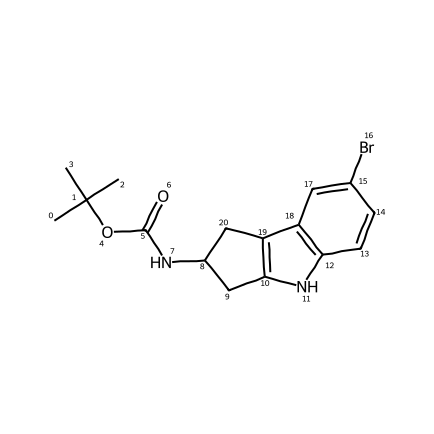 CC(C)(C)OC(=O)NC1Cc2[nH]c3ccc(Br)cc3c2C1